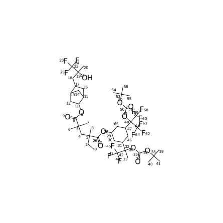 CCC(C)(CC(C)(C)C(=O)OC1CC2CC1CC2CC(C)(O)C(F)(F)F)C(=O)OC1CC(C(C)(OC(=O)OC(C)(C)C)C(F)(F)F)CC(C(OC(=O)OC(C)(C)C)(C(F)(F)F)C(F)(F)F)C1